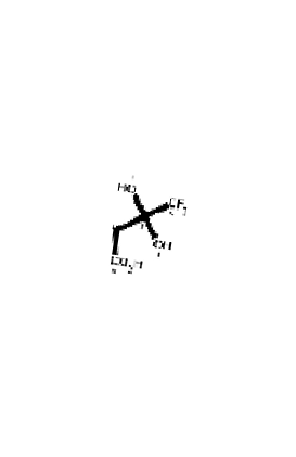 O=C(O)CC(O)(O)C(F)(F)F